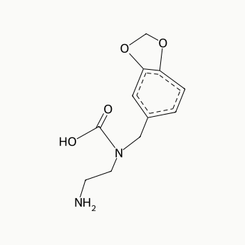 NCCN(Cc1ccc2c(c1)OCO2)C(=O)O